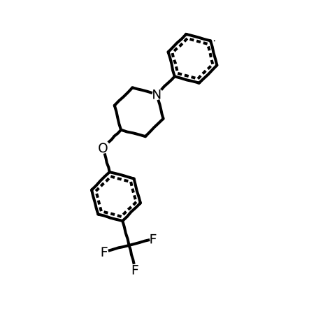 FC(F)(F)c1ccc(OC2CCN(c3cc[c]cc3)CC2)cc1